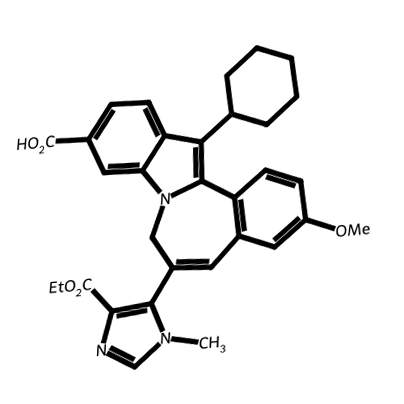 CCOC(=O)c1ncn(C)c1C1=Cc2cc(OC)ccc2-c2c(C3CCCCC3)c3ccc(C(=O)O)cc3n2C1